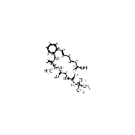 C[C@@H](NC(=O)CNC(=O)OC(C)(C)C)C(=O)Nc1ccccc1C=CCCCC(=O)O